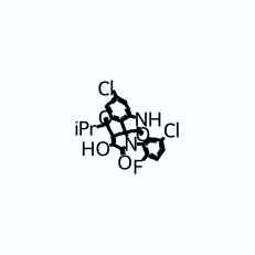 CC(C)C(=O)C1=C(O)C(=O)N(c2cc(Cl)ccc2F)C12C(=O)Nc1cc(Cl)ccc12